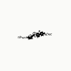 CCCCCCCCCCCc1ccc(-c2ccc(OC(=O)c3ccc(CCCCC)o3)cc2)c(F)c1